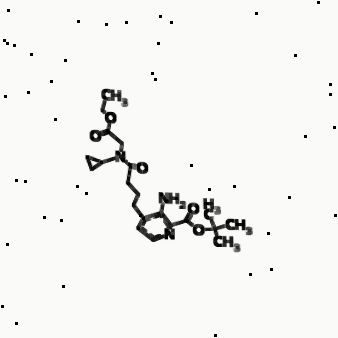 CCOC(=O)CN(C(=O)CCCc1ccnc(C(=O)OC(C)(C)C)c1N)C1CC1